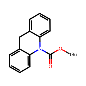 CC(C)(C)OC(=O)N1c2ccccc2Cc2ccccc21